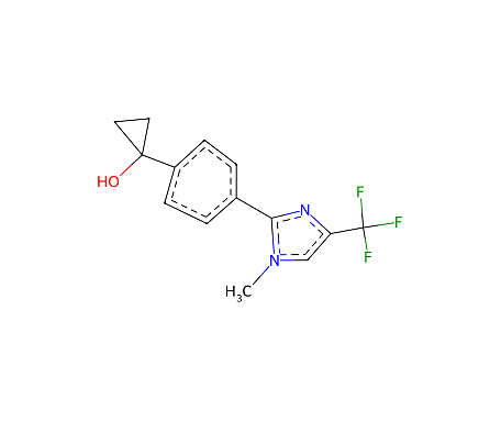 Cn1cc(C(F)(F)F)nc1-c1ccc(C2(O)CC2)cc1